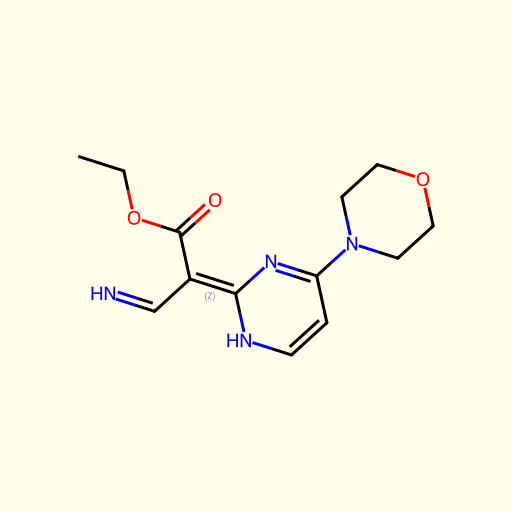 CCOC(=O)/C(C=N)=C1\N=C(N2CCOCC2)C=CN1